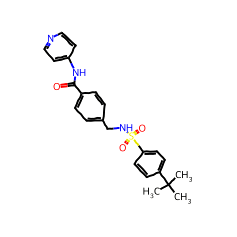 CC(C)(C)c1ccc(S(=O)(=O)NCc2ccc(C(=O)Nc3ccncc3)cc2)cc1